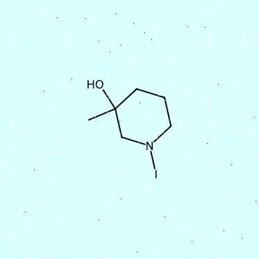 CC1(O)CCCN(I)C1